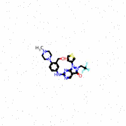 CN1CCN(c2ccc(Nc3ncc4c(=O)n(CC(F)(F)F)n(-c5ccsc5)c4n3)cc2CO)CC1